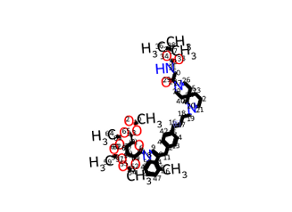 CC(=O)OC[C@H]1O[C@@H](n2cc(Cc3ccc(/C=C/CCN4CCCC5(CCN(C(=O)CNC(=O)OC(C)(C)C)CC5)C4)cc3)c3c(C)cccc32)[C@H](OC(C)=O)[C@@H](OC(C)=O)[C@@H]1OC(C)=O